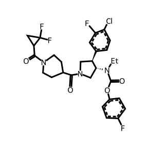 CCN(C(=O)Oc1ccc(F)cc1)[C@@H]1CN(C(=O)C2CCN(C(=O)C3CC3(F)F)CC2)C[C@H]1c1ccc(Cl)c(F)c1